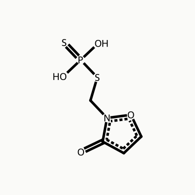 O=c1ccon1CSP(O)(O)=S